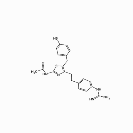 CC(=O)Nc1nc(CCc2ccc(NC(=N)N)cc2)c(Cc2ccc(S)cc2)s1